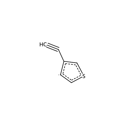 C#Cc1[c]csc1